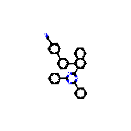 N#Cc1ccc(-c2cccc(-c3c(-c4nc(-c5ccccc5)nc(-c5ccccc5)n4)ccc4ccccc34)c2)cc1